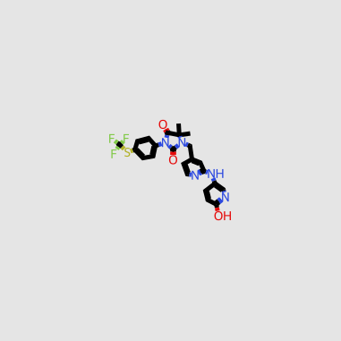 CC1(C)C(=O)N(c2ccc(SC(F)(F)F)cc2)C(=O)N1Cc1ccnc(Nc2ccc(O)nc2)c1